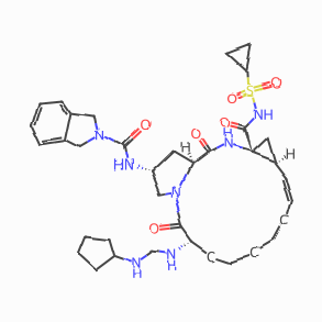 O=C1N[C@]2(C(=O)NS(=O)(=O)C3CC3)C[C@H]2/C=C\CCCCC[C@H](NCNC2CCCC2)C(=O)N2C[C@H](NC(=O)N3Cc4ccccc4C3)C[C@@H]12